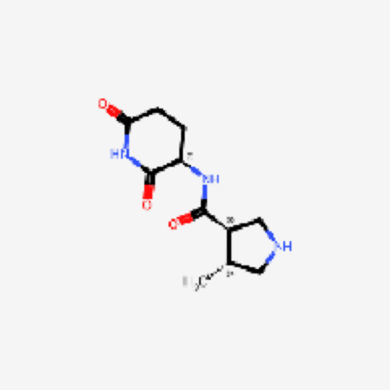 C[C@H]1CNC[C@@H]1C(=O)N[C@@H]1CCC(=O)NC1=O